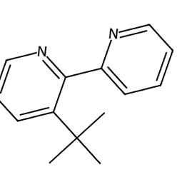 CC(C)(C)c1cccnc1-c1ccccn1